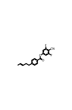 CC=CCCc1ccc(C(=O)Oc2cc(F)c(C#N)c(F)c2)cc1